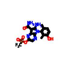 Cc1ccc(O)c(C)c1-n1c(N)c(C(N)=O)c2nc(OS(=O)(=O)C(F)(F)F)cnc21